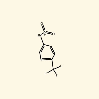 O=[SH](=O)Nc1ccc(C(F)(F)F)cc1